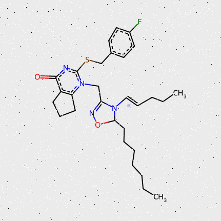 CCC/C=C/N1C(Cn2c(SCc3ccc(F)cc3)nc(=O)c3c2CCC3)=NOC1CCCCCCC